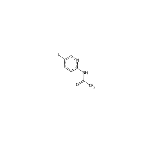 O=C(Nc1ccc(I)cn1)C(F)(F)F